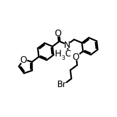 CN(Cc1ccccc1OCCCBr)C(=O)c1ccc(-c2ccco2)cc1